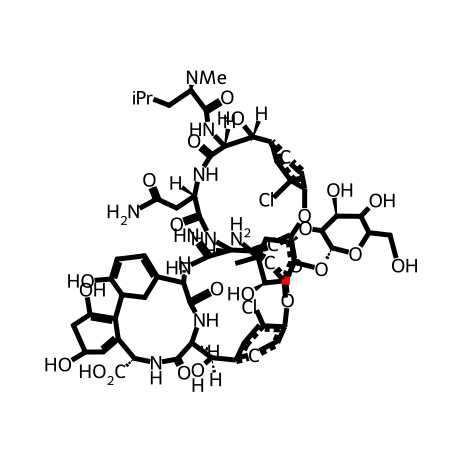 CN[C@H](CC(C)C)C(=O)N[C@H]1C(=O)N[C@@H](CC(N)=O)C(=O)N[C@H]2C(=N)N[C@H]3C(=O)N[C@H](C(=O)N[C@H](C(=O)O)C4=CC(O)CC(O)=C4C4CC3=CC=C4O)[C@H](O)c3ccc(c(Cl)c3)Oc3cc2cc(c3O[C@H]2OC(CO)C(O)[C@H](O)C2O[C@H]2CC(C)(N)[C@H](O)C(C)O2)Oc2ccc(cc2Cl)[C@H]1O